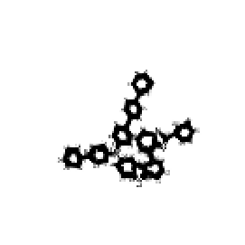 c1ccc(-c2ccc(-c3ccc(N(c4ccc(-c5ccccc5)cc4)c4ccc5oc6cccc(-c7cccc8nc(-c9ccccc9)oc78)c6c5c4)cc3)cc2)cc1